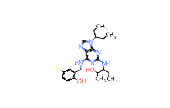 CCC(Nc1nc(NCc2cc(F)ccc2O)c2ncn(C(CC)CC)c2n1)C(C)O